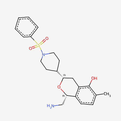 Cc1ccc2c(c1O)C[C@@H](C1CCN(S(=O)(=O)c3ccccc3)CC1)O[C@H]2CN